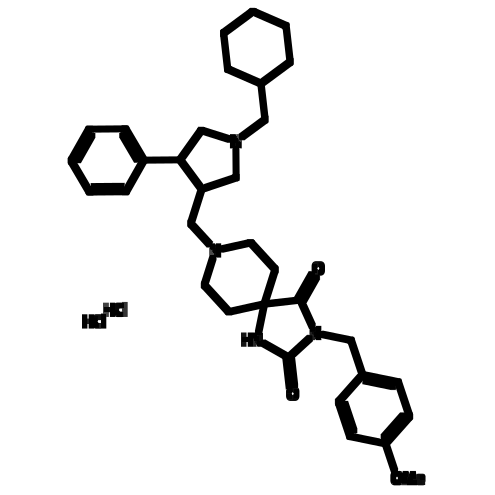 COc1ccc(CN2C(=O)NC3(CCN(CC4CN(CC5CCCCC5)CC4c4ccccc4)CC3)C2=O)cc1.Cl.Cl